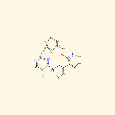 Fc1cnc(Cl)nc1N1CCC=C(c2cccnc2OCc2ccccc2)C1